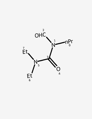 CCCN(C=O)C(=O)N(CC)CC